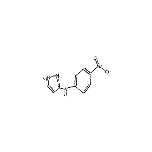 O=[N+]([O-])c1ccc(Nc2cc[nH]n2)cc1